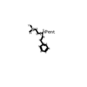 CCCCCN(CCc1ccccc1)CCN(C)C